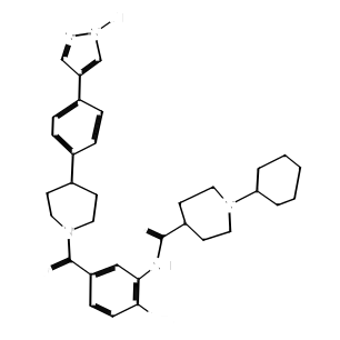 Cc1ccc(C(=O)N2CCC(c3ccc(-c4cnn(C)c4)cc3)CC2)cc1NC(=O)C1CCN(C2CCCCC2)CC1